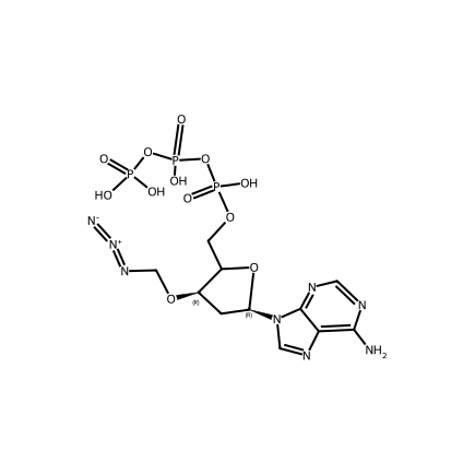 [N-]=[N+]=NCO[C@@H]1C[C@H](n2cnc3c(N)ncnc32)OC1COP(=O)(O)OP(=O)(O)OP(=O)(O)O